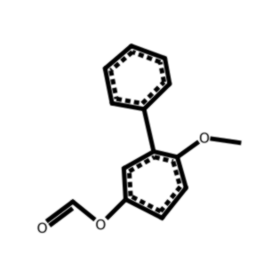 COc1ccc(OC=O)cc1-c1ccccc1